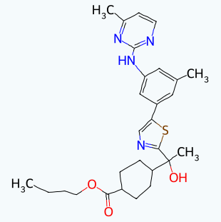 CCCCOC(=O)C1CCC(C(C)(O)c2ncc(-c3cc(C)cc(Nc4nccc(C)n4)c3)s2)CC1